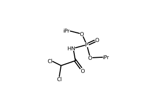 CC(C)OP(=O)(NC(=O)C(Cl)Cl)OC(C)C